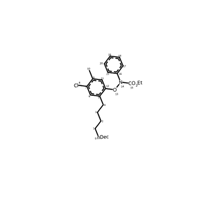 CCCCCCCCCCCCCCc1cc(Cl)c(C)cc1ON(C(=O)OCC)c1cc[c]cc1